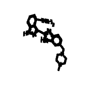 CN1CCN(Cc2ccc3nc(-c4n[nH]c5cccc(N)c45)[nH]c3c2)CC1